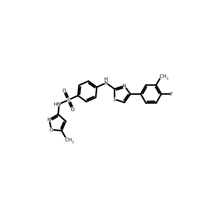 Cc1cc(NS(=O)(=O)c2ccc(Nc3nc(-c4ccc(F)c(C)c4)cs3)cc2)no1